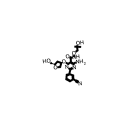 CC(C)(O)CONC(=O)c1c(N)nc(-c2cccc(C#N)c2)nc1O[C@H]1CO[C@@H](CO)C1